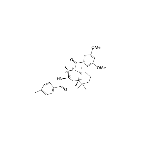 COc1cc(OC)cc(C(=O)[C@H]2[C@H](C)[C@H](NC(=O)c3ccc(C)cc3)C[C@@]3(C)C(C)(C)CCC[C@]23C)c1